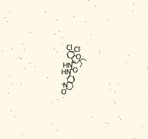 CCC1(CC)C[C@@H](NC(=O)Nc2ccc3c(c2)N(C)C(=O)CC3)c2ccc(Cl)c(Cl)c2O1